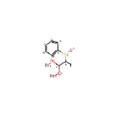 CCOC(OCC)C(C)[S+]([O-])c1ccccc1